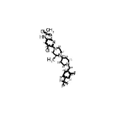 C[C@H]1CN(c2ncc(NS(C)(=O)=O)cc2Cl)CCN1C1CCN(Cc2ccc(C(F)(F)F)cc2F)CC1